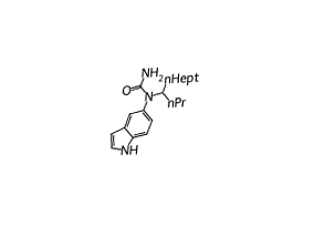 CCCCCCCC(CCC)N(C(N)=O)c1ccc2[nH]ccc2c1